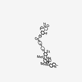 CCc1cc(Nc2ncc(Br)c(Nc3ccc4nc(C)ccc4c3P3(=O)CCCC3)n2)c(OC)cc1N1CCC(N2CCN(C(=O)C3CN(c4cc(F)c(C5CCC(=O)NC5=O)c(F)c4)C3)CC2)CC1